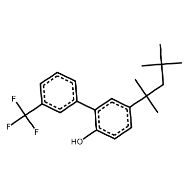 CC(C)(C)CC(C)(C)c1ccc(O)c(-c2cccc(C(F)(F)F)c2)c1